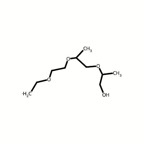 [CH2]COCCOC(C)COC(C)CO